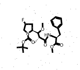 COC(=O)[C@H](Cc1ccccc1)NC(=O)[C@H](C)C(OC)[C@@H]1CC(F)CN1C(=O)OC(C)(C)C